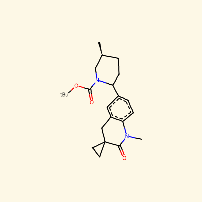 C[C@H]1CCC(c2ccc3c(c2)CC2(CC2)C(=O)N3C)N(C(=O)OC(C)(C)C)C1